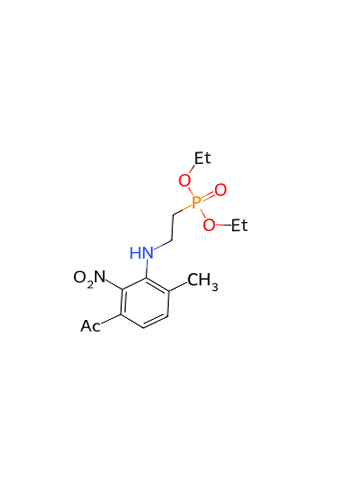 CCOP(=O)(CCNc1c(C)ccc(C(C)=O)c1[N+](=O)[O-])OCC